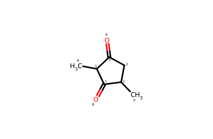 CC1CC(=O)C(C)C1=O